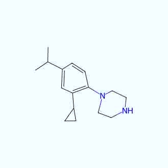 CC(C)c1ccc(N2CCNCC2)c(C2CC2)c1